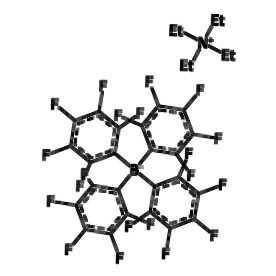 CC[N+](CC)(CC)CC.Fc1c(F)c(F)c([B-](c2c(F)c(F)c(F)c(F)c2F)(c2c(F)c(F)c(F)c(F)c2F)c2c(F)c(F)c(F)c(F)c2F)c(F)c1F